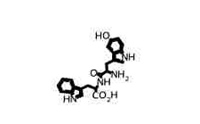 NC(Cc1c[nH]c2ccc(O)cc12)C(=O)NC(Cc1c[nH]c2ccccc12)C(=O)O